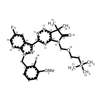 COc1cccc(Cn2nc(-c3nnc4c(n3)N(COCC[Si](C)(C)C)C(=O)C4(C)C)c3cc(F)cnc32)c1F